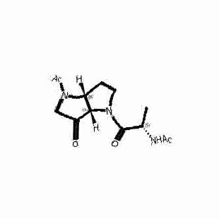 CC(=O)N[C@@H](C)C(=O)N1CC[C@@H]2[C@H]1C(=O)CN2C(C)=O